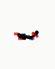 C[C@]12CC[C@H](O)CC1CCC1C2CC[C@]2(C)[C@@H](CCc3cc(CCN4C(=O)c5ccccc5C4=O)on3)CC[C@]12O